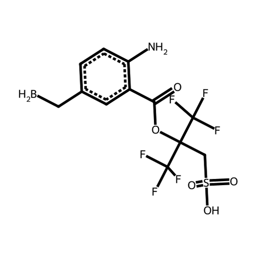 BCc1ccc(N)c(C(=O)OC(CS(=O)(=O)O)(C(F)(F)F)C(F)(F)F)c1